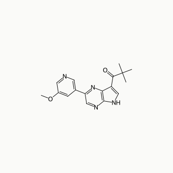 COc1cncc(-c2cnc3[nH]cc(C(=O)C(C)(C)C)c3n2)c1